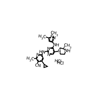 Cc1nc(Nc2ncc(N3CCN[C@H](C)C3)c(Nc3cc(C)n(C)n3)n2)cc(C2CC2)c1C#N.Cl.Cl